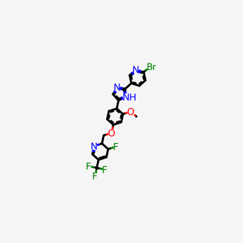 COc1cc(OCC2N=CC(C(F)(F)F)=CC2F)ccc1-c1cnc(-c2ccc(Br)nc2)[nH]1